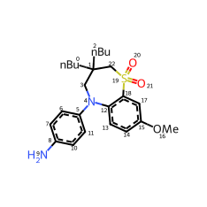 CCCCC1(CCCC)CN(c2ccc(N)cc2)c2ccc(OC)cc2S(=O)(=O)C1